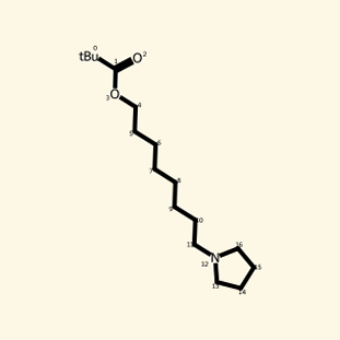 CC(C)(C)C(=O)OCCCCCCCCN1CCCC1